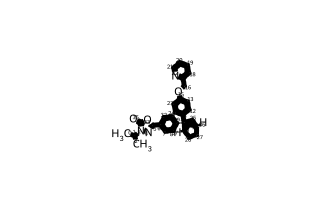 CC(C)n1nc(-c2ccc([C@]3(c4ccc(OCc5ccccn5)cc4)C[C@@H]4CC[C@H]3C4)cc2)oc1=O